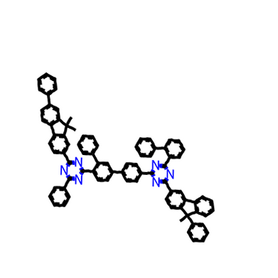 CC1(C)c2cc(-c3ccccc3)ccc2-c2ccc(-c3nc(-c4ccccc4)nc(-c4ccc(-c5ccc(-c6nc(-c7ccc8c(c7)-c7ccccc7C8(C)c7ccccc7)nc(-c7ccccc7-c7ccccc7)n6)cc5)cc4-c4ccccc4)n3)cc21